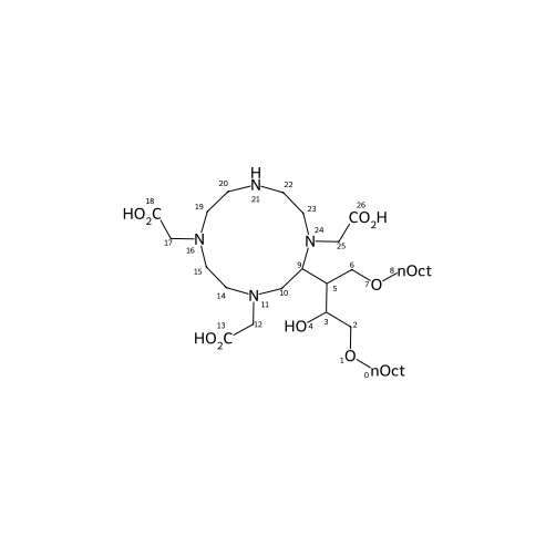 CCCCCCCCOCC(O)C(COCCCCCCCC)C1CN(CC(=O)O)CCN(CC(=O)O)CCNCCN1CC(=O)O